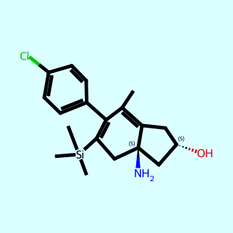 CC1=C2C[C@H](O)C[C@]2(N)CC([Si](C)(C)C)=C1c1ccc(Cl)cc1